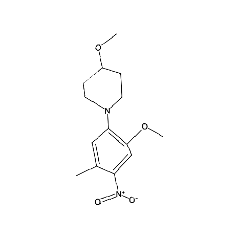 COc1cc([N+](=O)[O-])c(C)cc1N1CCC(OC)CC1